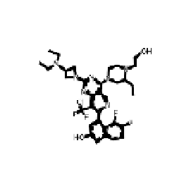 CCC1CN(c2nc(N3CC(N(CC)CC)C3)nc3c(C(F)(F)Cl)c(-c4cc(O)cc5ccc(F)c(F)c45)ncc23)CCN1CCO